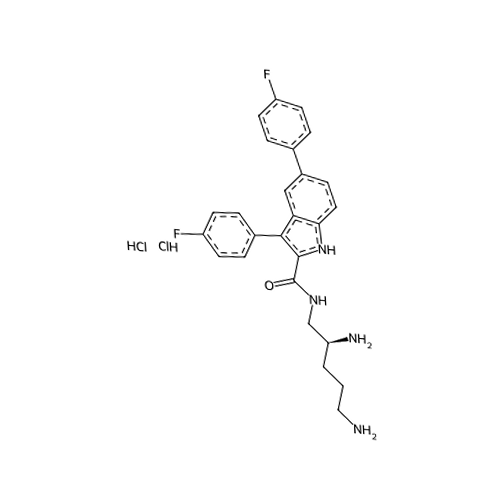 Cl.Cl.NCCC[C@H](N)CNC(=O)c1[nH]c2ccc(-c3ccc(F)cc3)cc2c1-c1ccc(F)cc1